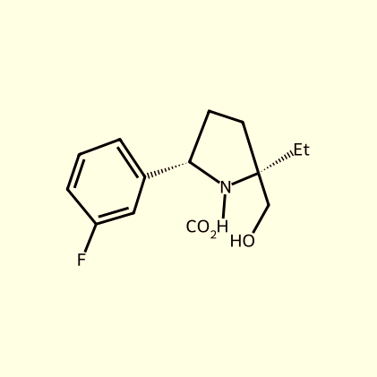 CC[C@@]1(CO)CC[C@@H](c2cccc(F)c2)N1C(=O)O